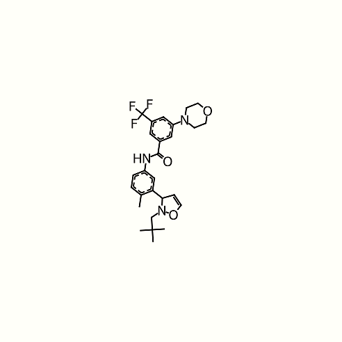 Cc1ccc(NC(=O)c2cc(N3CCOCC3)cc(C(F)(F)F)c2)cc1C1C=CON1CC(C)(C)C